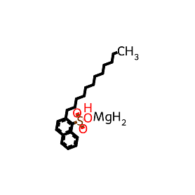 CCCCCCCCCCCCc1ccc2ccccc2c1S(=O)(=O)O.[MgH2]